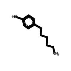 CCCCCCc1ccc([NH])cc1